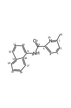 Cc1cccc(C(=O)Nc2cccc3ccccc23)n1